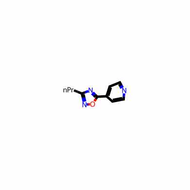 CCCc1noc(-c2ccncc2)n1